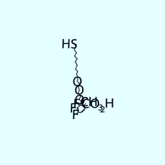 CC(OCCOCCOCCCCCCCCCCCS)C1(F)C(F)=C(F)C=CC1C(=O)O